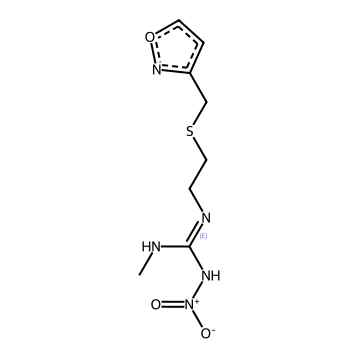 CN/C(=N\CCSCc1ccon1)N[N+](=O)[O-]